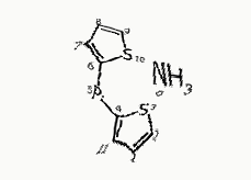 N.c1csc([P]c2cccs2)c1